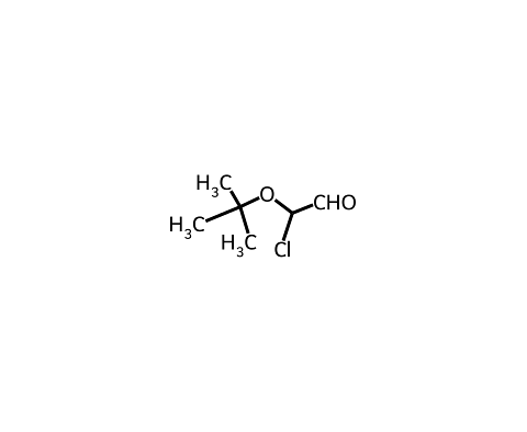 CC(C)(C)OC(Cl)C=O